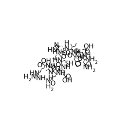 CC[C@H](C)[C@H](NC(=O)[C@H](Cc1ccccc1)NC(=O)[C@H](CC(=O)O)NC(=O)[C@@H](N)CC(N)=O)C(=O)N[C@@H](Cc1c[nH]cn1)C(=O)N[C@@H](CC(C)C)C(=O)N[C@@H](CS)C(=O)N[C@@H](CCC(=O)O)C(=O)N[C@@H](CCC(N)=O)C(=O)N[C@@H](C)C(=O)N[C@@H](CCCNC(=N)N)C(=O)O